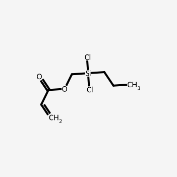 C=CC(=O)OC[Si](Cl)(Cl)CCC